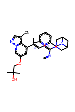 C=N/C(=C\C=C(/C)c1cc(OCC(C)(C)O)cn2ncc(C#N)c12)N1CC2CC(C1)N2Cc1cccc(C)n1